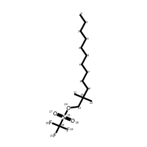 CCCCCCCCCCC(C)(C)COS(=O)(=O)C(F)(F)F